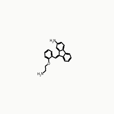 NCCOc1ccccc1C=C1c2ccccc2-c2ccc(N)cc21